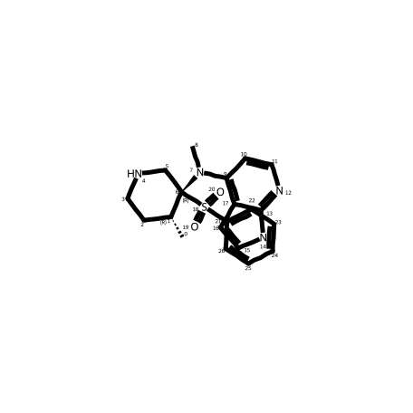 C[C@@H]1CCNC[C@]1(N(C)c1ccnc2[nH]ccc12)S(=O)(=O)c1ccccc1